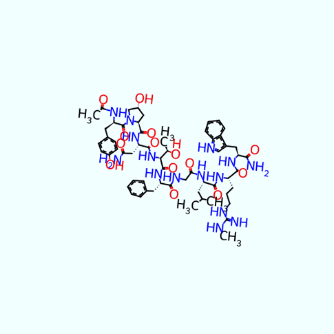 CNC(=N)NCCC[C@H](NC(=O)[C@H](CC(C)C)NC(=O)CNC(=O)[C@H](Cc1ccccc1)NC(=O)[C@@H](NC(=O)[C@H](CC(N)=O)NC(=O)[C@@H]1C[C@@H](O)CN1C(=O)[C@@H](Cc1ccc(O)cc1)NC(C)=O)[C@@H](C)O)C(=O)N[C@@H](Cc1c[nH]c2ccccc12)C(N)=O